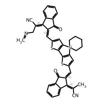 C=NC/C(C#N)=C1\C(=C\c2cc3c(s2)-c2sc(/C=C4\C(=O)c5ccccc5\C4=C(\C)C#N)cc2[Si]32CCCCC2)C(=O)c2ccccc21